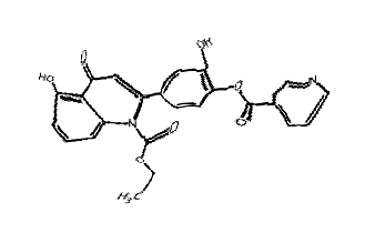 CCOC(=O)n1c(-c2ccc(OC(=O)c3cccnc3)c(O)c2)cc(=O)c2c(O)cccc21